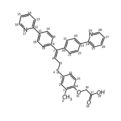 Cc1cc(SCC=C(c2ccc(-c3ccccn3)cc2)c2ccc(-c3ccccn3)cc2)ccc1OCC(=O)O